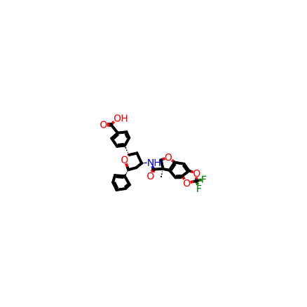 C[C@]1(C(=O)N[C@H]2C[C@@H](c3ccc(C(=O)O)cc3)O[C@@H](c3ccccc3)C2)COc2cc3c(cc21)OC(F)(F)O3